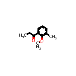 CCC(=O)c1cccc(C)c1OC